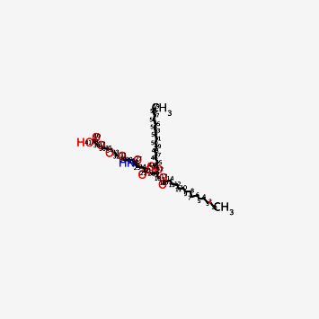 CCCCCCCCCCCCCCCC(=O)OCC(COC(=O)CCC(=O)NCCOCCOCCOCC(=O)O)OC(=O)CCCCCCCCCCCCCCC